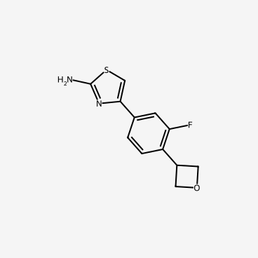 Nc1nc(-c2ccc(C3COC3)c(F)c2)cs1